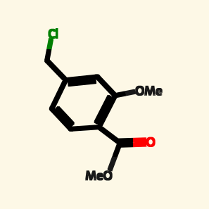 COC(=O)c1ccc(CCl)cc1OC